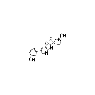 N#Cc1cccc(-c2cnc3nc(C4(F)CCCN(C#N)C4)oc3c2)c1